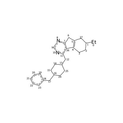 CCC1CCC2=C(Cc3ncnc(CC4CCC(Cc5ccccc5)CC4)c32)C1